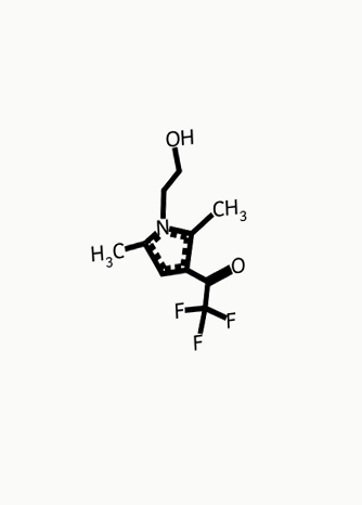 Cc1cc(C(=O)C(F)(F)F)c(C)n1CCO